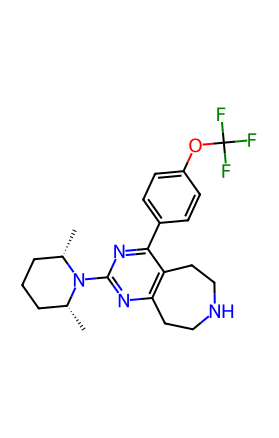 C[C@@H]1CCC[C@H](C)N1c1nc2c(c(-c3ccc(OC(F)(F)F)cc3)n1)CCNCC2